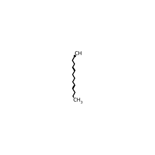 C#CCCC=CCCCC=CCCC